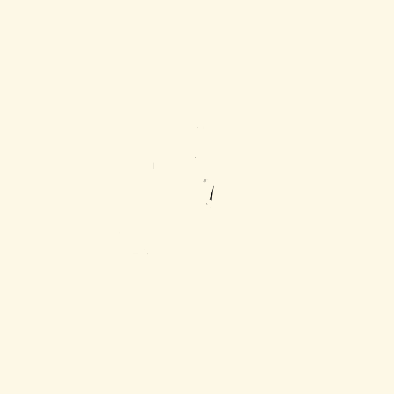 CC(C)CC(N[C@@H](C(=O)O)c1ccccc1)C(=O)O